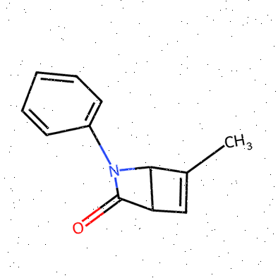 CC1=CC2C(=O)N(c3ccccc3)C12